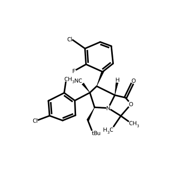 Cc1cc(Cl)ccc1[C@@]1(C#N)[C@H](CC(C)(C)C)N2[C@@H](C(=O)OC2(C)C)[C@@H]1c1cccc(Cl)c1F